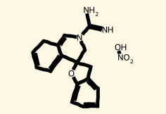 N=C(N)N1C=C2CC=CC=C2C2(Cc3ccccc3O2)C1.O=[N+]([O-])O